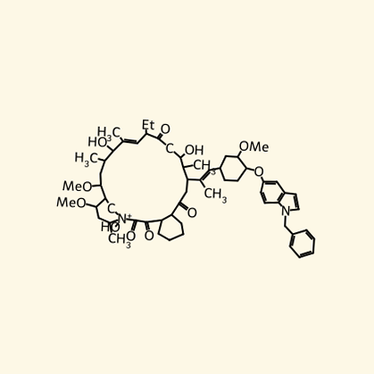 CCC1/C=C(\C)C(O)C(C)CC(OC)C2C[N+](O)(C(=O)C(=O)C3CCCCC3C(=O)CC(C(C)=CC3CCC(Oc4ccc5c(ccn5Cc5ccccc5)c4)C(OC)C3)C(C)C(O)CC1=O)C(C)CC2OC